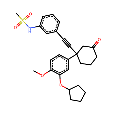 COc1ccc(C2(C#Cc3cccc(NS(C)(=O)=O)c3)CCCC(=O)C2)cc1OC1CCCC1